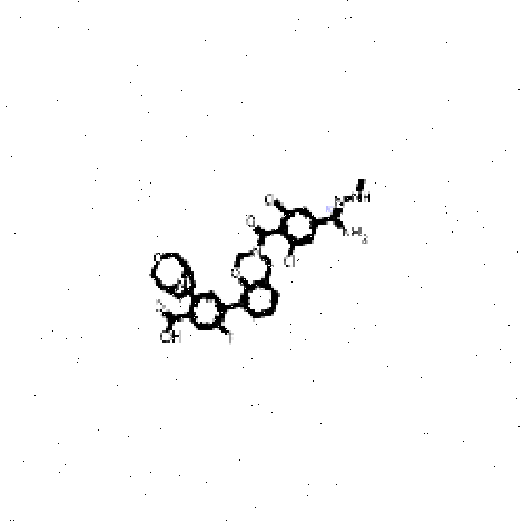 CN/N=C(\N)c1cc(Cl)c(C(=O)N2COc3c(cccc3-c3cc(N4C5CCC4COC5)c(C(=O)O)cc3F)C2)c(Cl)c1